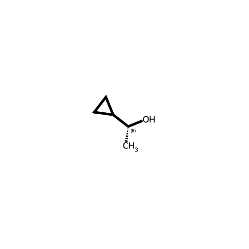 C[C@@H](O)C1CC1